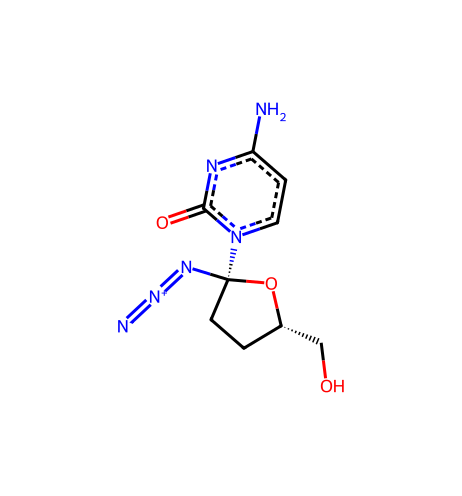 [N-]=[N+]=N[C@]1(n2ccc(N)nc2=O)CC[C@@H](CO)O1